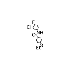 CCOc1ccc(C(=O)Nc2ccc(F)c(Cl)c2)cc1